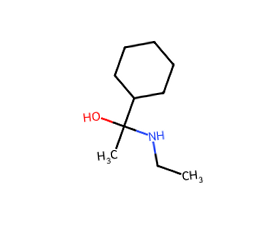 CCNC(C)(O)C1CCCCC1